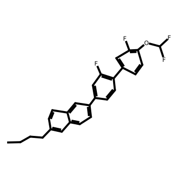 CCCCc1ccc2cc(-c3ccc(-c4ccc(OC(F)F)c(F)c4)c(F)c3)ccc2c1